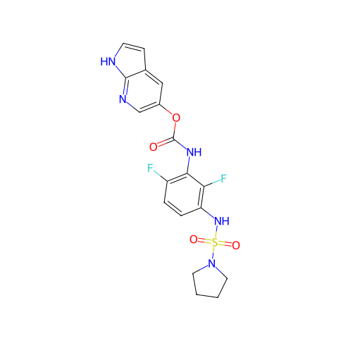 O=C(Nc1c(F)ccc(NS(=O)(=O)N2CCCC2)c1F)Oc1cnc2[nH]ccc2c1